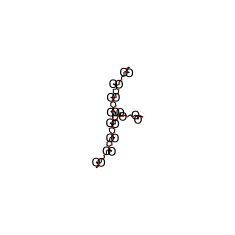 C=CC(=O)OCCCCOC(=O)c1cc(OC(=O)C2CCC(C(=O)OC3CCC(C(=O)OCCCCOC(=O)C=C)CC3)CC2)ccc1OC(=O)C1CCC(C(=O)OC2CCC(C(=O)OCCCCOC(=O)C=C)CC2)CC1